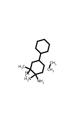 CC.CC1(C)CC(C2CCCCC2)CCC1(N)N